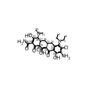 CCN(CC)c1c(Cl)c(N)c(O)c2c1CC1CC3[C@H](N(C)C)C(O)=C(C(N)=O)C(=O)[C@@]3(O)C(O)=C1C2=O